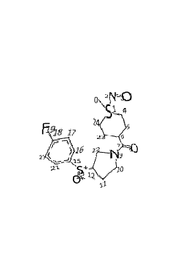 CS1(N=O)CCC(C(=O)N2CCC([S+]([O-])c3ccc(F)cc3)C2)CC1